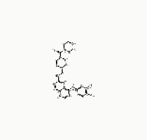 O=C(C1CCC(CNc2ncc3ncnc(Nc4ccc(F)c(Cl)c4)c3n2)CC1)N1CCOCC1